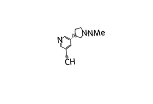 C#Cc1cncc([C@@H]2CCN(NC)C2)c1